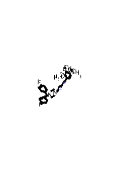 COc1ccc(/C=C/C=C/CN2CCN(C(c3ccc(F)cc3)c3ccc(F)cc3)CC2)c(OC)c1OC